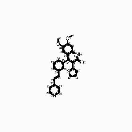 COc1cc2[nH]c(=O)c(-c3cccs3)c(-c3cccc(C=Cc4ccncc4)c3)c2cc1OC